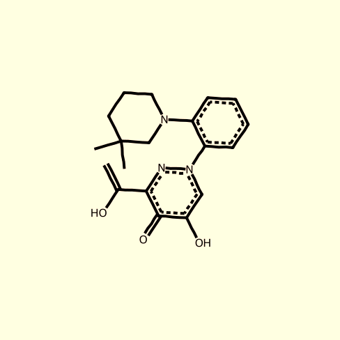 C=C(O)c1nn(-c2ccccc2N2CCCC(C)(C)C2)cc(O)c1=O